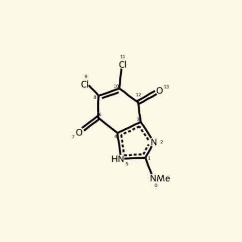 CNc1nc2c([nH]1)C(=O)C(Cl)=C(Cl)C2=O